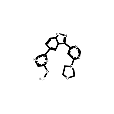 COc1cncc(C2=CC3C(c4cc(N5CCOCC5)ncn4)=NNC3C=C2)n1